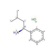 CC(C)C[C@H](N)c1ccccc1.Cl